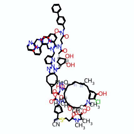 CO[C@@H]1/C=C/C=C(\C)Cc2cc(O)c(Cl)c(c2)N(C)C(=O)C[C@H](OC(=O)[C@H](C)N(C)C(=O)CCS/C(=C\C#N)c2ccc(NC(=O)OCC3C4CCc5nnn(C[C@H]6C[C@H](CC(=O)NCCC(=O)N(Cc7ccc(-c8ccccc8)cc7)Oc7cc(CN(Cc8ccccn8)Cc8ccccn8)cc(CN(Cc8ccccn8)Cc8ccccn8)c7)[C@H](O)[C@@H]6O)c5CCC43)cc2)[C@]2(C)O[C@H]2C(C)[C@@H]2C[C@@]1(O)NC(=O)O2